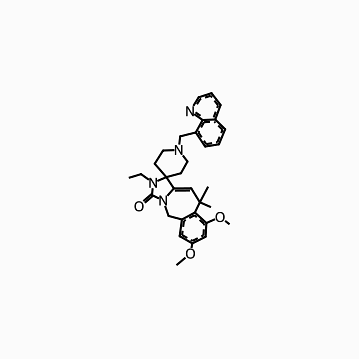 CCN1C(=O)N2Cc3cc(OC)cc(OC)c3C(C)(C)C=C2C12CCN(Cc1cccc3cccnc13)CC2